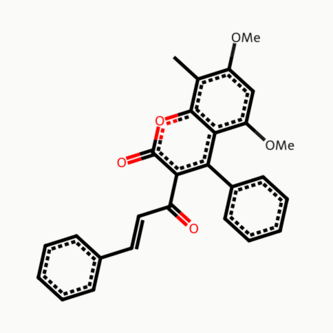 COc1cc(OC)c2c(-c3ccccc3)c(C(=O)C=Cc3ccccc3)c(=O)oc2c1C